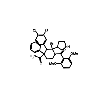 CCC1(C2CCNC2)C(c2ccc(Cl)c(Cl)c2)C(C(N)=O)(c2ccccc2)CCN1C(=O)c1c(OC)cccc1OC